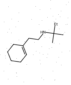 CCC(C)(C)NCCC1=CCCCC1